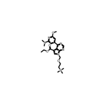 CCOC(=O)c1cn(COCC[Si](C)(C)C)c2ncnc(-c3cc(OC)nc(N(C)C)c3)c12